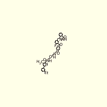 CCc1cccc(-c2cnc(C(=O)NCCOCCNCC(=O)N3CCN(C(=O)c4cc(Cc5n[nH]c(=O)c6ccccc56)ccc4F)CC3)c(C)c2)c1